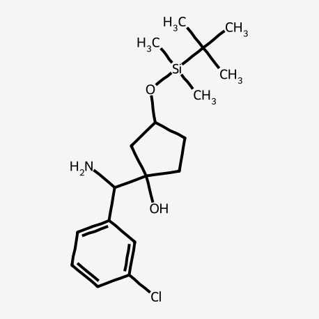 CC(C)(C)[Si](C)(C)OC1CCC(O)(C(N)c2cccc(Cl)c2)C1